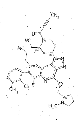 CC#CC(=O)N1CC[C@H](n2nnc3c(OC[C@@H]4CCCN4C)nc4c(F)c(-c5cccc(C)c5Cl)c(CCC#N)cc4c32)C[C@H]1CC#N